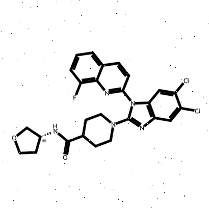 O=C(N[C@@H]1CCOC1)C1CCN(c2nc3cc(Cl)c(Cl)cc3n2-c2ccc3cccc(F)c3n2)CC1